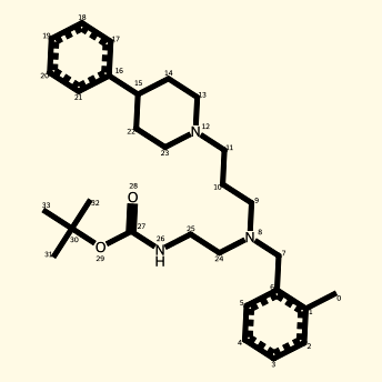 Cc1ccccc1CN(CCCN1CCC(c2ccccc2)CC1)CCNC(=O)OC(C)(C)C